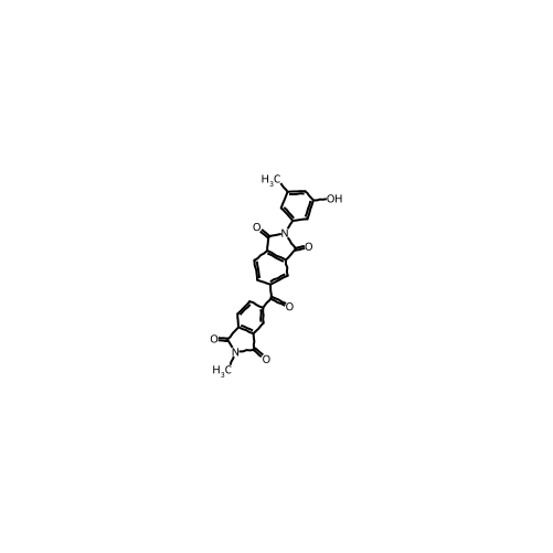 Cc1cc(O)cc(N2C(=O)c3ccc(C(=O)c4ccc5c(c4)C(=O)N(C)C5=O)cc3C2=O)c1